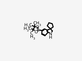 CC1(C)OB(c2ccc3c(c2)C2(CCCC2)CN3)OC1(C)C